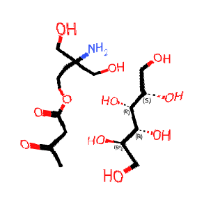 CC(=O)CC(=O)OCC(N)(CO)CO.OC[C@@H](O)[C@@H](O)[C@H](O)[C@@H](O)CO